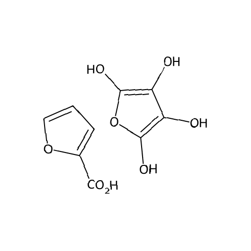 O=C(O)c1ccco1.Oc1oc(O)c(O)c1O